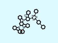 c1ccc(-c2ccc(-c3nc(-c4ccccc4)nc(-c4ccc(-n5c6ccccc6c6cc(-n7c8ccccc8c8ccccc87)c7c(c8ccccc8n7-c7ccccc7)c65)c5oc6ccccc6c45)n3)cc2)cc1